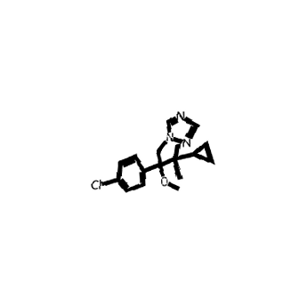 COC(Cn1cncn1)(c1ccc(Cl)cc1)C(C)(C)C1CC1